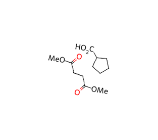 COC(=O)CCC(=O)OC.O=C(O)C1CCCC1